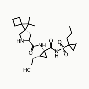 CCCC1(S(=O)(=O)NC(=O)[C@@]2(NC(=O)[C@@H]3C[C@@]4(CN3)C(C)(C)C43CCC3)C[C@@H]2CC)CC1.Cl